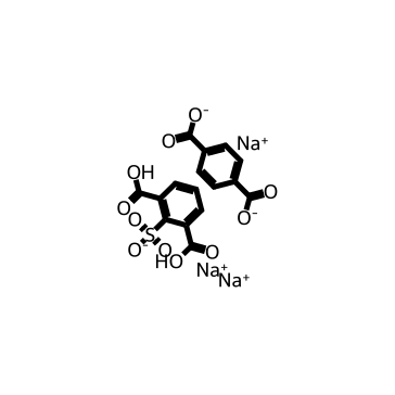 O=C(O)c1cccc(C(=O)O)c1S(=O)(=O)[O-].O=C([O-])c1ccc(C(=O)[O-])cc1.[Na+].[Na+].[Na+]